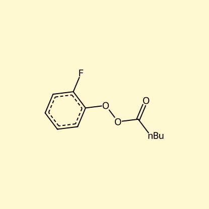 CCCCC(=O)OOc1ccccc1F